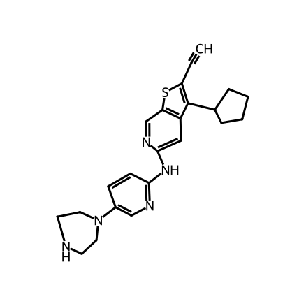 C#Cc1sc2cnc(Nc3ccc(N4CCNCC4)cn3)cc2c1C1CCCC1